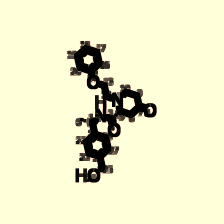 C[C@H](NC(=O)[C@H]1CC(=O)CCN1CCOc1ccccc1)c1ccc(CO)cc1